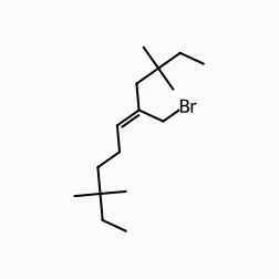 CCC(C)(C)CC/C=C(\CBr)CC(C)(C)CC